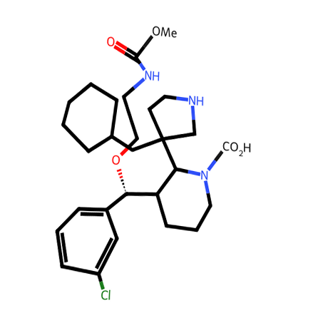 COC(=O)NCCO[C@@H](c1cccc(Cl)c1)C1CCCN(C(=O)O)C1C1(CC2CCCCC2)CCNC1